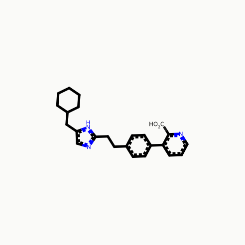 O=C(O)c1ncccc1-c1ccc(CCc2ncc(CC3CCCCC3)[nH]2)cc1